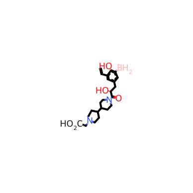 Bc1cc(C[C@@H](O)C(=O)N2CCC(C3CCN(CC(=O)O)CC3)CC2)cc(C=C)c1O